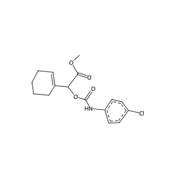 COC(=O)C(OC(=O)Nc1ccc(Cl)cc1)C1=CCCCC1